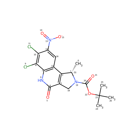 C[C@H]1c2c(c(=O)[nH]c3c(Cl)c(Cl)c([N+](=O)[O-])cc23)CN1C(=O)OC(C)(C)C